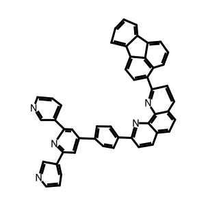 c1cncc(-c2cc(-c3ccc(-c4ccc5ccc6ccc(-c7ccc8c9c(cccc79)-c7ccccc7-8)nc6c5n4)cc3)cc(-c3cccnc3)n2)c1